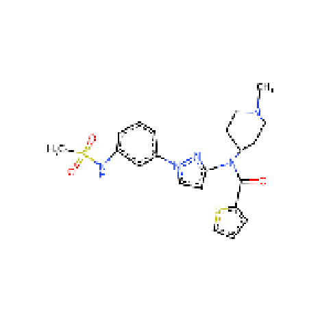 CN1CCC(N(C(=O)c2cccs2)c2ccn(-c3cccc(NS(C)(=O)=O)c3)n2)CC1